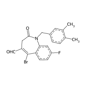 Cc1ccc(CN2C(=O)CC(C=O)=C(Br)c3ccc(F)cc32)cc1C